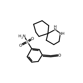 C1CCC2(CC1)CCCNN2.NS(=O)(=O)C1=CC(=C=O)CC=C1